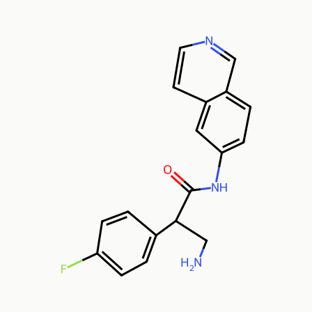 NCC(C(=O)Nc1ccc2cnccc2c1)c1ccc(F)cc1